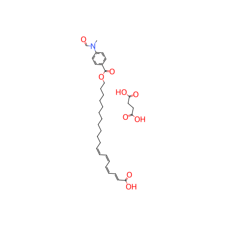 CN(C=O)c1ccc(C(=O)OCCCCCCCCCCC\C=C/C=C\C=C/C=CC(=O)O)cc1.O=C(O)CCC(=O)O